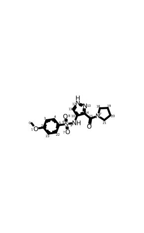 COc1ccc(S(=O)(=O)Nc2c[nH]nc2C(=O)N2CCCC2)cc1